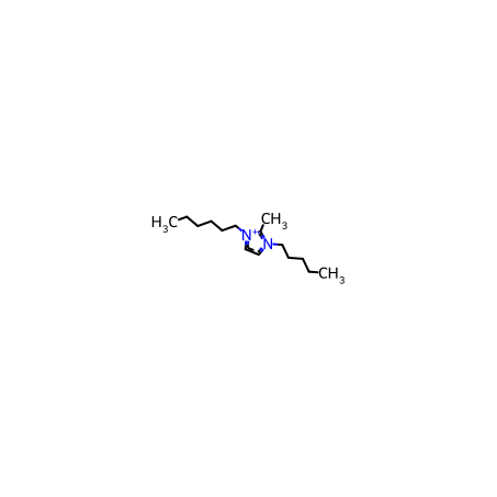 CCCCCC[n+]1ccn(CCCCC)c1C